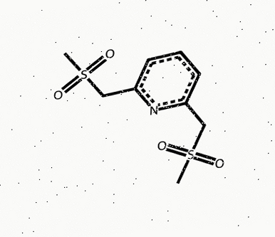 CS(=O)(=O)Cc1cccc(CS(C)(=O)=O)n1